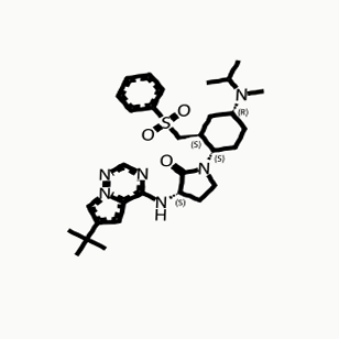 CC(C)N(C)[C@@H]1CC[C@H](N2CC[C@H](Nc3ncnn4cc(C(C)(C)C)cc34)C2=O)[C@@H](CS(=O)(=O)c2ccccc2)C1